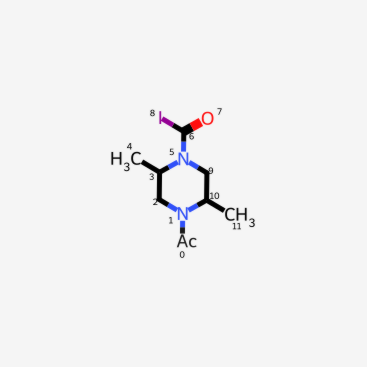 CC(=O)N1CC(C)N(C(=O)I)CC1C